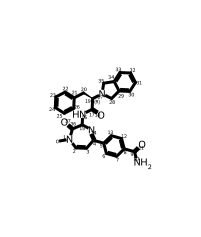 CN1C=CC(c2ccc(C(N)=O)cc2)=NC(NC(=O)[C@@H](Cc2ccccc2)N2Cc3ccccc3C2)C1=O